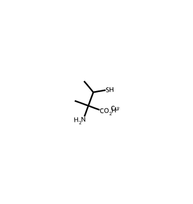 CC(S)C(C)(N)C(=O)O.[Cu]